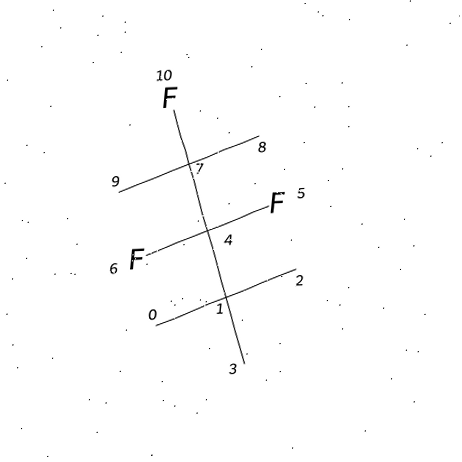 CC(C)(C)C(F)(F)C(C)(C)F